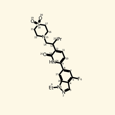 CCn1ncc2c(F)cc(-c3ccc(C(CN4CCS(=O)(=O)CC4)C(C)C)c(=O)[nH]3)cc21